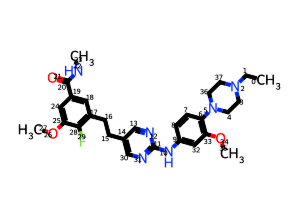 CCN1CCN(c2ccc(Nc3ncc(CCc4cc(C(=O)NC)cc(OC)c4F)cn3)cc2OC)CC1